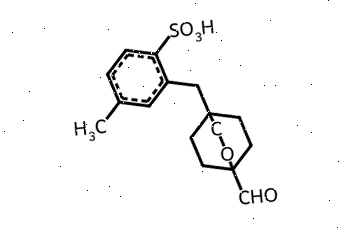 Cc1ccc(S(=O)(=O)O)c(CC23CCC(C=O)(CC2)OC3)c1